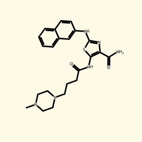 CN1CCN(CCCC(=O)Nc2sc(Nc3ccc4ccccc4c3)nc2C(N)=O)CC1